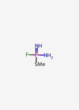 CSP(=N)(N)F